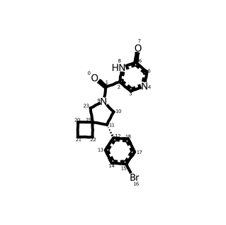 O=C(c1cncc(=O)[nH]1)N1C[C@H](c2ccc(Br)cc2)C2(CCC2)C1